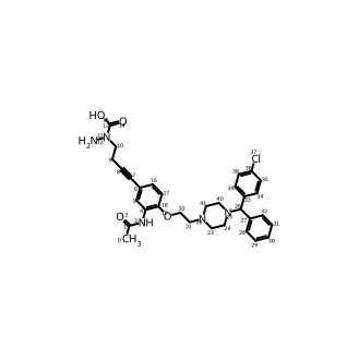 CC(=O)Nc1cc(C#CCCN(N)C(=O)O)ccc1OCCN1CCN(C(c2ccccc2)c2ccc(Cl)cc2)CC1